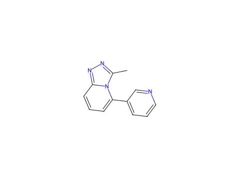 Cc1nnc2cccc(-c3cccnc3)n12